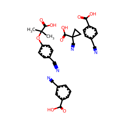 CC(C)(Oc1ccc(C#N)cc1)C(=O)O.N#CC1(C(=O)O)CC1.N#Cc1ccc(C(=O)O)cc1.N#Cc1cccc(C(=O)O)c1